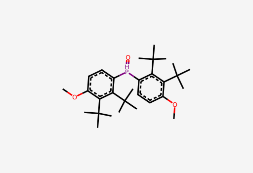 COc1ccc([PH](=O)c2ccc(OC)c(C(C)(C)C)c2C(C)(C)C)c(C(C)(C)C)c1C(C)(C)C